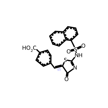 O=C1N=C(NS(=O)(=O)c2cccc3ccccc23)S/C1=C\c1ccc(C(=O)O)cc1